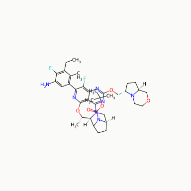 CCc1c(C)c(-c2nc3c4c(nc(OC[C@@H]5CC[C@H]6COCCN65)nc4c2F)N2C[C@H]4CCC([C@H]2[C@H](C)O3)N4C(=O)OC(C)(C)C)cc(N)c1F